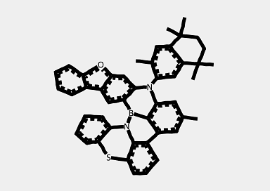 Cc1cc2c3c(c1)N(c1cc4c(cc1C)C(C)(C)CCC4(C)C)c1cc4oc5ccccc5c4cc1B3N1c3ccccc3Sc3cccc-2c31